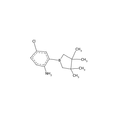 CC1(C)CB(c2cc(Cl)ccc2N)CC1(C)C